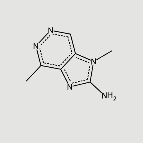 Cc1nncc2c1nc(N)n2C